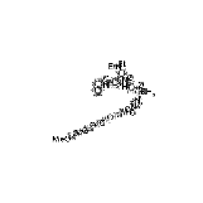 CCN(CC)c1ccc(NC(=O)c2cccc(C(=O)N(C)CCN3CCN(C(=O)OCCOCCOCCOCCOCCOCCOCCOC)CC3)c2)c(-c2cc(C(O)N[C@H]3CCCc4ccccc43)ccn2)c1